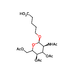 CC(=O)N[C@H]1C(OC(C)=O)[C@@H](OC(C)=O)C(COC(C)=O)O[C@H]1OCCCCC(=O)O